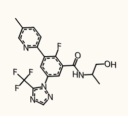 Cc1ccc(-c2cc(-n3ncnc3C(F)(F)F)cc(C(=O)NC(C)CO)c2F)nc1